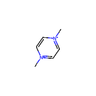 C[n+]1cc[n+](C)cc1